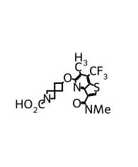 CNC(=O)c1csc2c(C(F)(F)F)c(C)c(OC3CC4(C3)CN(C(=O)O)C4)nc12